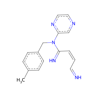 Cc1ccc(CN(C(=N)/C=C\C=N)c2cnccn2)cc1